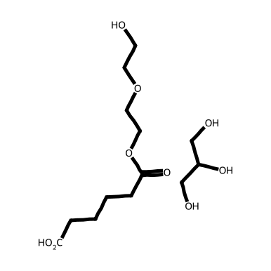 O=C(O)CCCCC(=O)OCCOCCO.OCC(O)CO